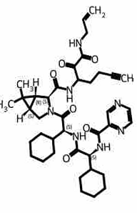 C#CCCC(NC(=O)[C@@H]1[C@@H]2[C@H](CN1C(=O)[C@@H](NC(=O)[C@@H](NC(=O)c1cnccn1)C1CCCCC1)C1CCCCC1)C2(C)C)C(=O)C(=O)NCC=C